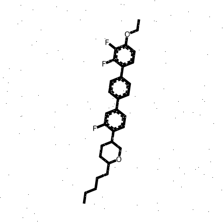 CCCCCC1CCC(c2ccc(-c3ccc(-c4ccc(OCC)c(F)c4F)cc3)cc2F)CO1